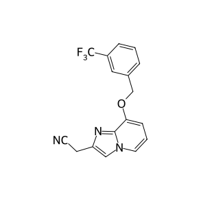 N#CCc1cn2cccc(OCc3cccc(C(F)(F)F)c3)c2n1